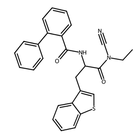 CCN(C#N)C(=O)C(Cc1csc2ccccc12)NC(=O)c1ccccc1-c1ccccc1